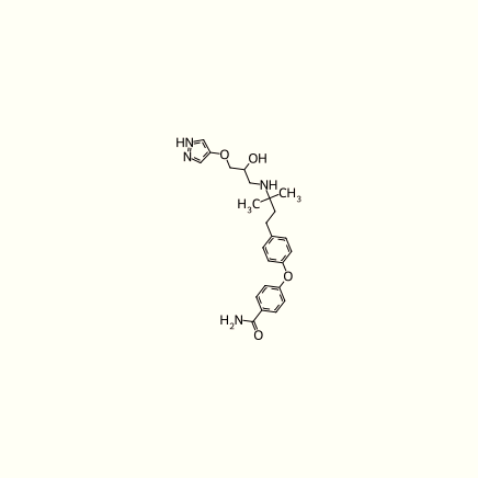 CC(C)(CCc1ccc(Oc2ccc(C(N)=O)cc2)cc1)NCC(O)COc1cn[nH]c1